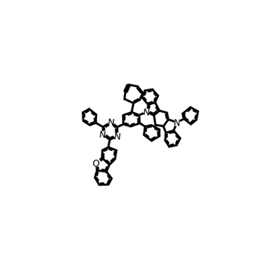 C1#CCC(c2cc(-c3nc(-c4ccccc4)nc(-c4ccc5c(c4)oc4ccccc45)n3)cc(-c3ccccc3)c2-n2c3c(c4ccccc42)C=C2C(C3)c3ccccc3N2c2ccccc2)=CC=C1